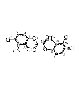 O=C(Oc1ccc(Cl)c(Cl)c1Cl)C(=O)Oc1ccc(Cl)c(Cl)c1Cl